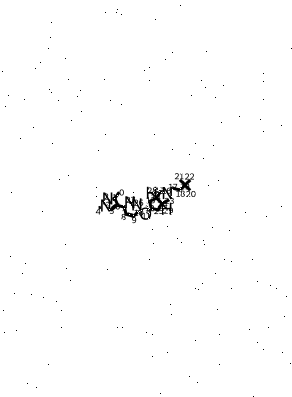 Cc1nn(C)cc1-c1ccc(O[C@@H]2C[C@@H]3CN(CCC(C)(C)C)C[C@@H]3C2)nn1